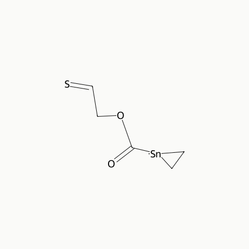 O=[C](OCC=S)[Sn]1[CH2][CH2]1